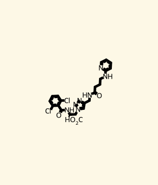 O=C(CCCNc1ccccn1)NCc1cn(C[C@H](NC(=O)c2c(Cl)cccc2Cl)C(=O)O)nn1